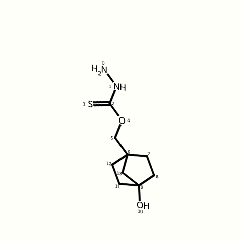 NNC(=S)OCC12CCC(O)(CC1)C2